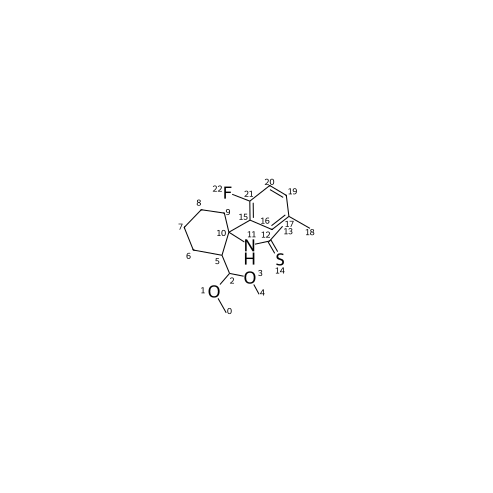 COC(OC)C1CCCCC1(NC(C)=S)c1cc(C)ccc1F